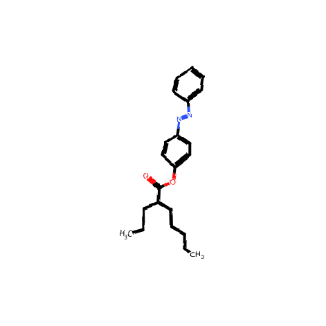 CCCCCC(CCC)C(=O)Oc1ccc(N=Nc2ccccc2)cc1